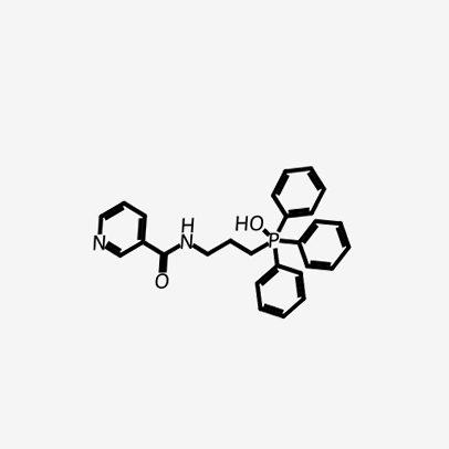 O=C(NCCCP(O)(c1ccccc1)(c1ccccc1)c1ccccc1)c1cccnc1